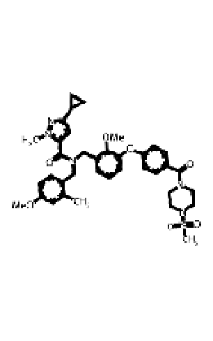 COc1ccc(CN(Cc2cccc(Oc3ccc(C(=O)N4CCN(S(C)(=O)=O)CC4)cc3)c2OC)C(=O)c2cc(C3CC3)nn2C)c(C)c1